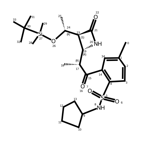 Cc1ccc(S(=O)(=O)NC2CCCC2)c(C(=O)[C@H](C)[C@H]2NC(=O)[C@@H]2[C@@H](C)O[Si](C)(C)C(C)(C)C)c1